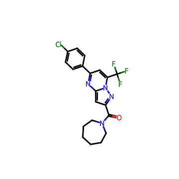 O=C(c1cc2nc(-c3ccc(Cl)cc3)cc(C(F)(F)F)n2n1)N1CCCCCC1